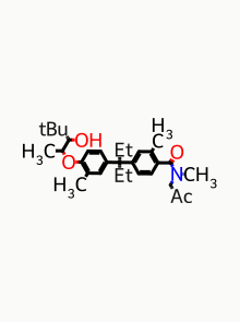 CCC(CC)(c1ccc(OC(C)C(O)C(C)(C)C)c(C)c1)c1ccc(C(=O)N(C)CC(C)=O)c(C)c1